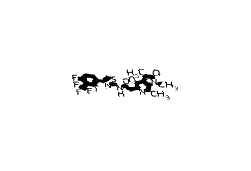 CC1N=C(CC(=O)Nc2nc(-c3ccc(F)c(C(F)(F)F)c3F)cs2)C(=O)C2=C1N(C)C(=O)C2C